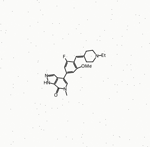 CCN1CCC(=Cc2c(F)cc(-c3cn(C)c(=O)c4[nH]ncc34)cc2OC)CC1